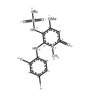 CCCCS(=O)(=O)Nc1c(OC)cc(=O)n(C)c1Nc1ccc(I)cc1F